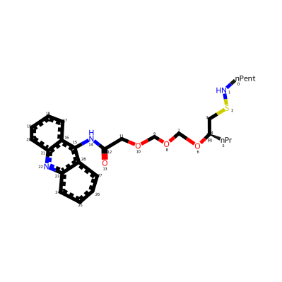 CCCCCNSC[C@@H](CCC)OCOCOCC(=O)Nc1c2ccccc2nc2ccccc12